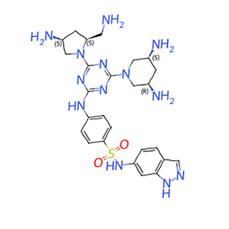 NC[C@@H]1C[C@H](N)CN1c1nc(Nc2ccc(S(=O)(=O)Nc3ccc4cn[nH]c4c3)cc2)nc(N2C[C@H](N)C[C@H](N)C2)n1